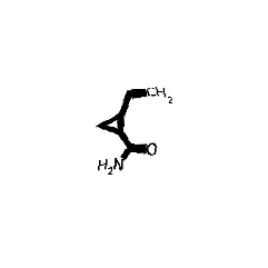 C=CC1CC1C(N)=O